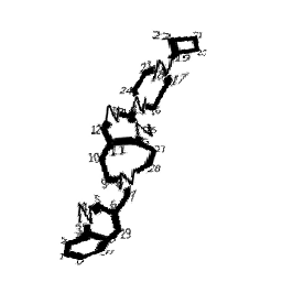 c1ccc2ncc(CN3CCc4cnc(N5CCN(C6CCC6)CC5)nc4CC3)cc2c1